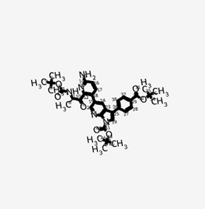 C[C@H](NC(=O)OC(C)(C)C)C(=O)c1nc(N)ccc1-c1cnc2c(c1)c(-c1ccc(C(=O)OC(C)(C)C)cc1)cn2C(=O)OC(C)(C)C